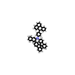 c1ccc2c(c1)-c1cccc3cccc(c13)C2c1ccc(N(c2ccc3c(c2)C2(c4ccccc4-c4ccccc42)c2ccccc2-3)c2ccc3ccccc3c2)cc1